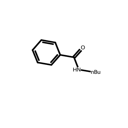 [CH2]CCCNC(=O)c1ccccc1